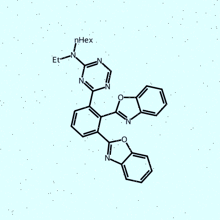 CCCCCCN(CC)c1ncnc(-c2cccc(-c3nc4ccccc4o3)c2-c2nc3ccccc3o2)n1